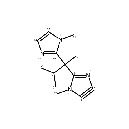 CC(C)C(C)(c1nc#cn1C)c1nccn1C